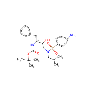 CC(C)CN(CC(O)[C@H](Cc1ccccc1)NC(=O)OC(C)(C)C)S(=O)(=O)c1ccc(N)cc1